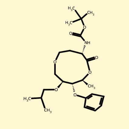 CC(C)CO[C@H]1COCC[C@H](NC(=O)OC(C)(C)C)C(=O)O[C@@H](C)[C@@H]1Oc1ccccc1